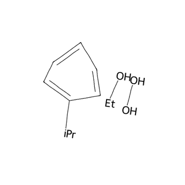 CC(C)c1ccccc1.CCO.OO